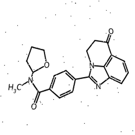 CN(C(=O)c1ccc(-c2nc3cccc4c3n2CCC4=O)cc1)C1CCCO1